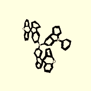 c1ccc(-n2c3ccccc3c3cc(N(c4ccc5c(c4)-c4ccccc4C54c5ccccc5Oc5ccccc54)c4ccc5c(c4)C4(c6ccccc6Oc6ccccc64)c4ccccc4-5)ccc32)cc1